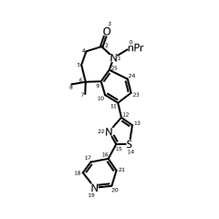 CCCN1C(=O)CCC(C)(C)c2cc(-c3csc(-c4ccncc4)n3)ccc21